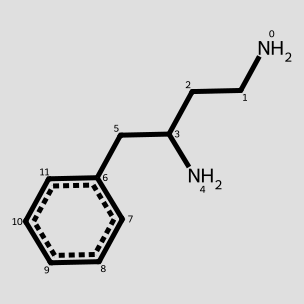 NCCC(N)Cc1ccccc1